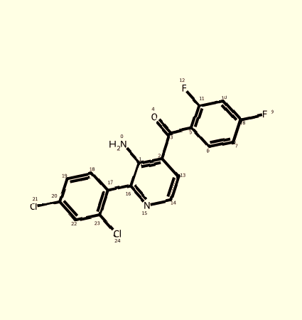 Nc1c(C(=O)c2ccc(F)cc2F)ccnc1-c1ccc(Cl)cc1Cl